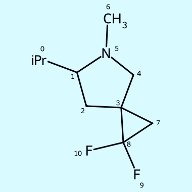 CC(C)C1CC2(CN1C)CC2(F)F